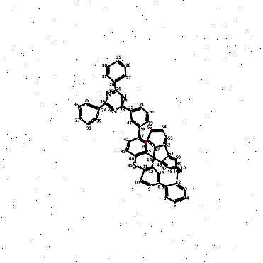 N#Cc1ccccc1-c1ccc2c(c1)C1(c3cc(-c4cccc(-c5nc(-c6ccccc6)nc(-c6ccccc6)n5)c4)ccc3S2)c2ccccc2-c2ccccc21